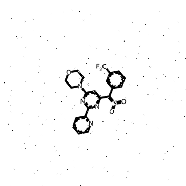 O=S(=O)=C(c1cccc(C(F)(F)F)c1)c1cc(N2CCOCC2)nc(-c2ccccn2)n1